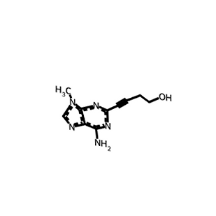 Cn1cnc2c(N)nc(C#CCCO)nc21